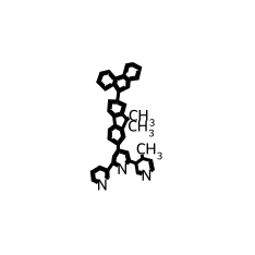 CC1C=CN=CC1c1cc(-c2ccc3c(c2)C(C)(C)c2cc(-c4cc5ccccc5c5ccccc45)ccc2-3)cc(-c2cccnc2)n1